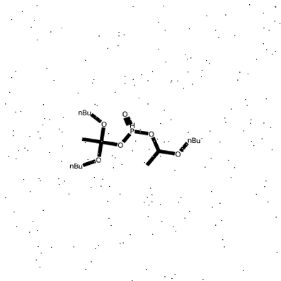 CCCCOC(C)O[PH](=O)OC(C)(OCCCC)OCCCC